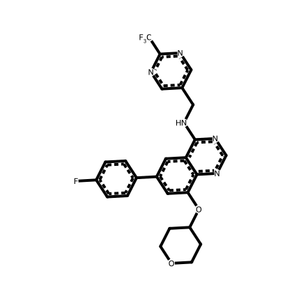 Fc1ccc(-c2cc(OC3CCOCC3)c3ncnc(NCc4cnc(C(F)(F)F)nc4)c3c2)cc1